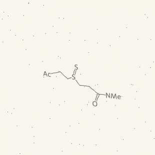 CNC(=O)CCS(=S)CCC(C)=O